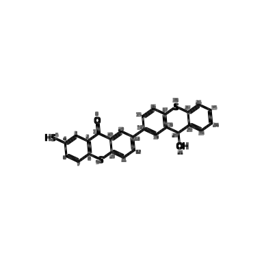 O=c1c2cc(S)ccc2sc2ccc(-c3ccc4c(c3)C(O)c3ccccc3S4)cc12